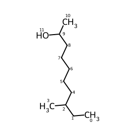 CCC(C)CCCCCC(C)O